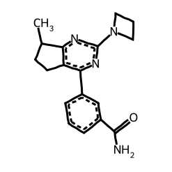 CC1CCc2c(-c3cccc(C(N)=O)c3)nc(N3CCC3)nc21